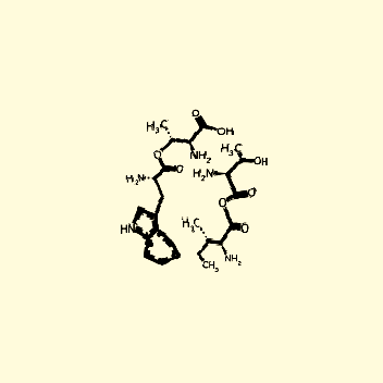 CC[C@H](C)[C@H](N)C(=O)OC(=O)[C@@H](N)[C@@H](C)O.C[C@@H](OC(=O)[C@@H](N)Cc1c[nH]c2ccccc12)[C@H](N)C(=O)O